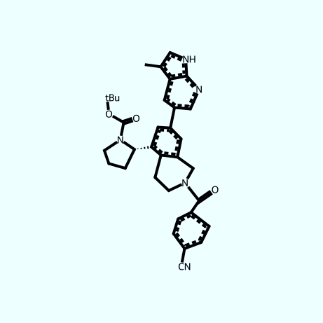 Cc1c[nH]c2ncc(-c3cc4c(c([C@@H]5CCCN5C(=O)OC(C)(C)C)c3)CCN(C(=O)c3ccc(C#N)cc3)C4)cc12